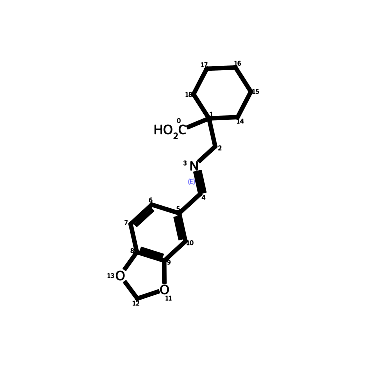 O=C(O)C1(C/N=C/c2ccc3c(c2)OCO3)CCCCC1